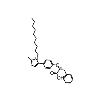 CCCCCCCCCCn1c(C)ccc1-c1ccc(O[C@H](Cc2ccccc2)C(=O)O)cc1